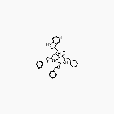 O=C(C[C@H](CC1CNc2ccc(F)cc21)NC(=O)[C@H](CC1CCCCC1)NC(=O)OCc1ccccc1)OCc1ccccc1